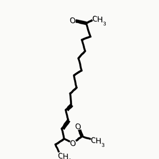 CCC(C=CC=CCCCCCCCCC(C)=O)OC(C)=O